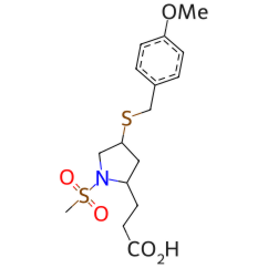 COc1ccc(CSC2CC(CCC(=O)O)N(S(C)(=O)=O)C2)cc1